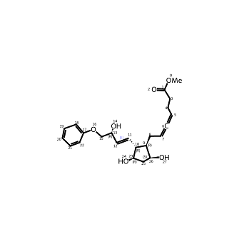 COC(=O)CCC=C=CC[C@@H]1[C@@H](/C=C/[C@@H](O)COc2ccccc2)[C@H](O)C[C@@H]1O